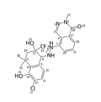 Cn1ncc2c(NNC3c4ccc(Cl)c(O)c4C(C)(C)CC3(O)C(F)(F)F)cccc2c1=O